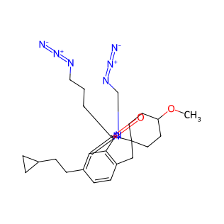 COC1CCC2(CC1)Cc1ccc(CCC3CC3)cc1C21N=C(CCCN=[N+]=[N-])N(CN=[N+]=[N-])C1=O